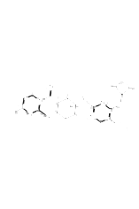 N=C([C@H]1CCC[C@@H](Nc2ncc(C(F)(F)F)c(OC3COC3)n2)C1)n1ccc(O)nc1=N